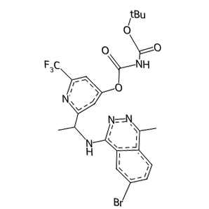 Cc1nnc(NC(C)c2cc(OC(=O)NC(=O)OC(C)(C)C)cc(C(F)(F)F)n2)c2cc(Br)ccc12